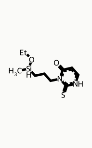 CCO[SiH](C)CCCn1c(=O)cc[nH]c1=S